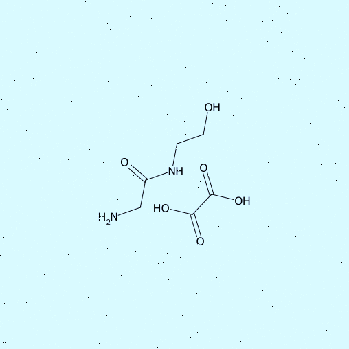 NCC(=O)NCCO.O=C(O)C(=O)O